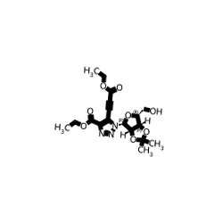 CCOC(=O)C#Cc1c(C(=O)OCC)nnn1[C@@H]1O[C@H](CO)[C@H]2OC(C)(C)O[C@H]21